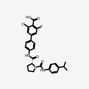 CC(C)c1ccc(NC(=O)N2CCC[C@@H]2C(=O)Nc2ccc(-c3cc(F)c(C(=O)O)c(Cl)c3)cc2)cc1